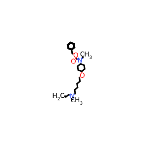 C=CCN(C)CCCCCCOC1CCC(N(CC)C(=O)OCc2ccccc2)CC1